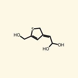 OCC1=CC(=CC(O)O)CS1